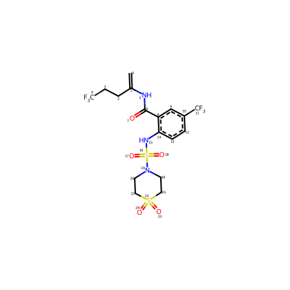 C=C(CCC(F)(F)F)NC(=O)c1cc(C(F)(F)F)ccc1NS(=O)(=O)N1CCS(=O)(=O)CC1